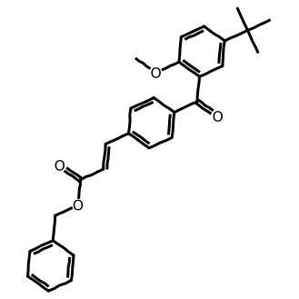 COc1ccc(C(C)(C)C)cc1C(=O)c1ccc(/C=C/C(=O)OCc2ccccc2)cc1